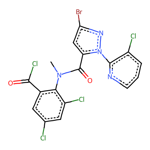 CN(C(=O)c1cc(Br)nn1-c1ncccc1Cl)c1c(Cl)cc(Cl)cc1C(=O)Cl